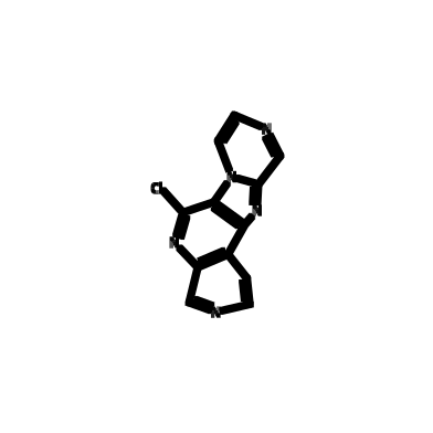 Clc1nc2cnccc2c2nc3cnccn3c12